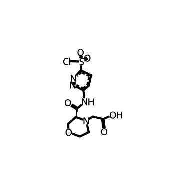 O=C(O)CN1CCOC[C@H]1C(=O)Nc1ccc(S(=O)(=O)Cl)nn1